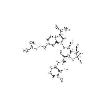 CN(C)CCOc1ccc2c(c1)c(CC(=O)N1[C@@H]3C[C@@H]3C[C@H]1C(=O)NCc1cccc(Cl)c1F)cn2C(N)=O